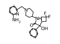 Nc1cccc(CN2CCC(NC(=O)C(O)(c3ccccc3)C3CC(F)(F)C3)CC2)n1